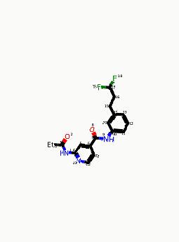 CCC(=O)Nc1cc(C(=O)Nc2cccc(CCC(F)F)c2)ccn1